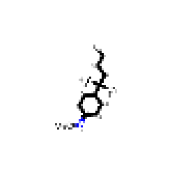 CON=C1CCC(C(C)(C#N)CCCC(F)(F)F)CC1